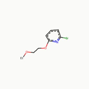 CCOCCOc1cccc(Br)n1